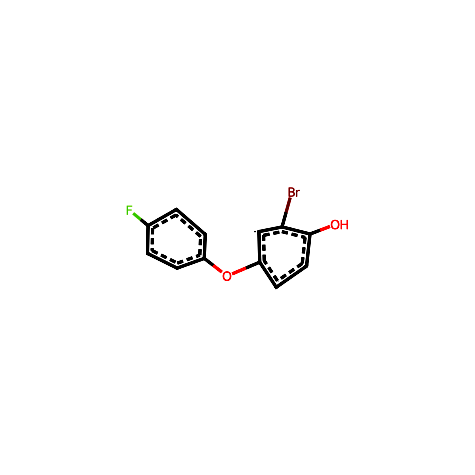 Oc1ccc(Oc2ccc(F)cc2)[c]c1Br